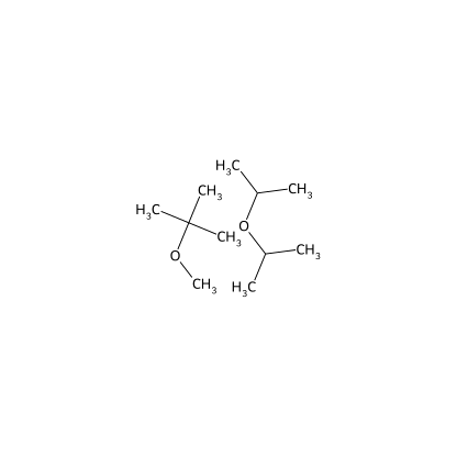 CC(C)OC(C)C.COC(C)(C)C